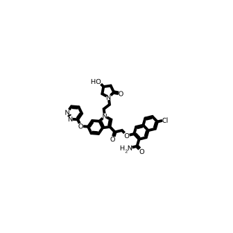 NC(=O)c1cc2cc(Cl)ccc2cc1OCC(=O)c1cn(CCN2CC(O)CC2=O)c2cc(Oc3cccnn3)ccc12